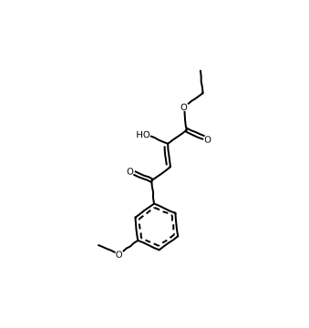 CCOC(=O)C(O)=CC(=O)c1cccc(OC)c1